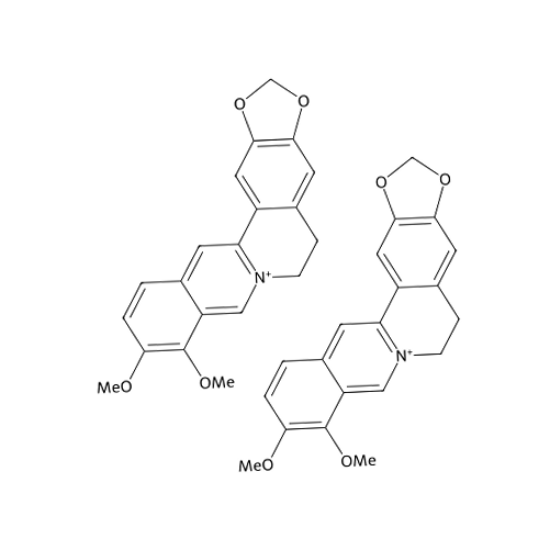 COc1ccc2cc3[n+](cc2c1OC)CCc1cc2c(cc1-3)OCO2.COc1ccc2cc3[n+](cc2c1OC)CCc1cc2c(cc1-3)OCO2